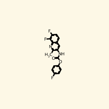 Cc1nc2c(F)c(F)ccc2cc1NC(=O)Oc1ccc(F)cc1